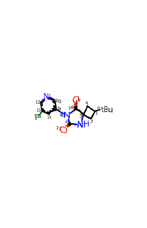 CC(C)(C)C1CC2(C1)NC(=O)N(c1cncc(F)c1)C2=O